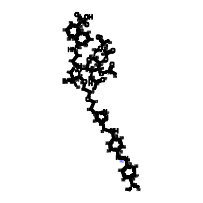 CC(=O)N[C@H]1[C@H](O[C@@H](OCCOCCn2cc(CNc3ccc(/N=N/c4ccc(N(C)C)cc4)cc3)nn2)[C@](C)(Br)CNCCNc2cccc3c(S(=O)(=O)O)cccc23)O[C@H](COC(C)=O)[C@@H](OC(C)=O)[C@@H]1OC(C)=O